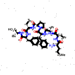 CC[C@H](C)[C@H](NC(=O)[C@H](Cc1ccccc1)NC(=O)[C@H](CC(C)C)NC(=O)[C@@H]1CCCN1C(=O)[C@H](Cc1ccccc1)NC(=O)[C@@H](NC(=O)[C@H](CC(C)C)NC(=O)[C@@H](N)CCSC)C(C)C)C(=O)O